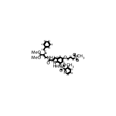 COC(OC)C(CNC(=O)c1cc2cc(OCCCS(C)(=O)=O)cc(NS(=O)(=O)c3ncccc3C)c2[nH]1)SCc1ccccc1